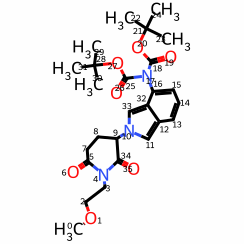 COCCN1C(=O)CCC(n2cc3cccc(N(C(=O)OC(C)(C)C)C(=O)OC(C)(C)C)c3c2)C1=O